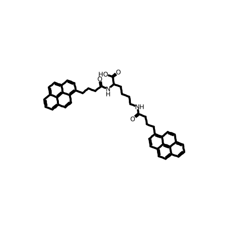 O=C(CCCc1ccc2ccc3cccc4ccc1c2c34)NCCCCC(NC(=O)CCCc1ccc2ccc3cccc4ccc1c2c34)C(=O)O